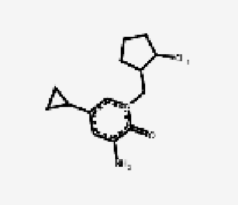 C[C@@H]1CCCC1Cn1cc(C2CC2)cc(N)c1=O